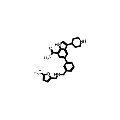 Cc1ccc(CNCc2cccc(-c3cc(C(N)=O)c4[nH]cc(C5CCNCC5)c4c3)c2)o1